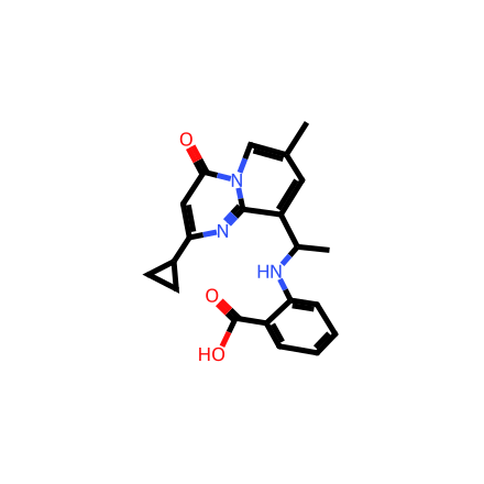 Cc1cc(C(C)Nc2ccccc2C(=O)O)c2nc(C3CC3)cc(=O)n2c1